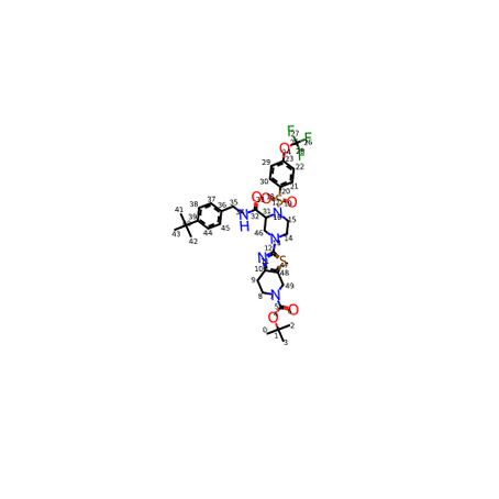 CC(C)(C)OC(=O)N1CCc2nc(N3CCN(S(=O)(=O)c4ccc(OC(F)(F)F)cc4)C(C(=O)NCc4ccc(C(C)(C)C)cc4)C3)sc2C1